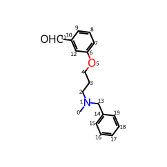 CN(CCCOc1cccc(C=O)c1)Cc1ccccc1